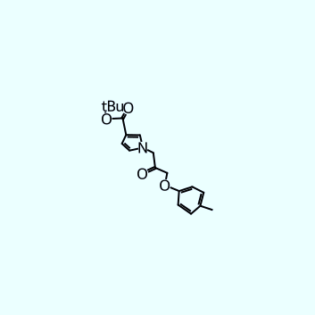 Cc1ccc(OCC(=O)Cn2ccc(C(=O)OC(C)(C)C)c2)cc1